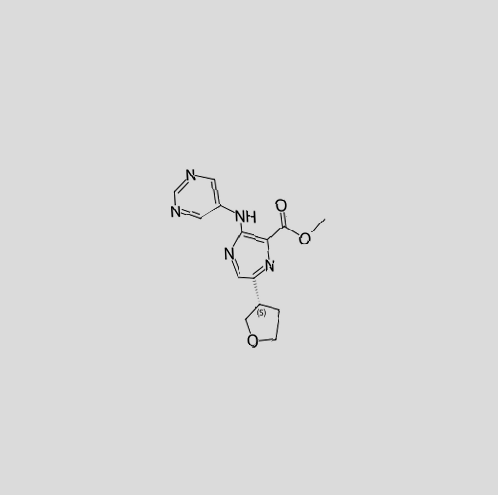 COC(=O)c1nc([C@@H]2CCOC2)cnc1Nc1cncnc1